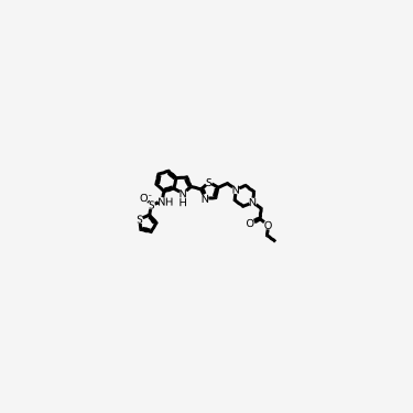 CCOC(=O)CN1CCN(Cc2cnc(-c3cc4cccc(N[S+]([O-])c5cccs5)c4[nH]3)s2)CC1